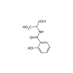 CCCCCCCCC(NC(=O)c1ccccc1O)C(=O)O